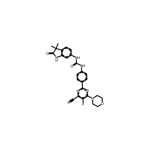 CC1(C)C(=O)Nc2cc(NC(=O)Nc3ccc(-c4nc(C#N)c(F)c(N5CCOCC5)n4)cc3)ccc21